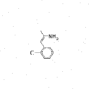 CC(N)=Cc1ccccc1Cl